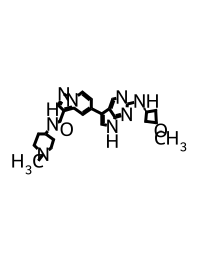 CO[C@H]1C[C@@H](Nc2ncc3c(-c4ccn5ncc(C(=O)NC6CCN(C)CC6)c5c4)c[nH]c3n2)C1